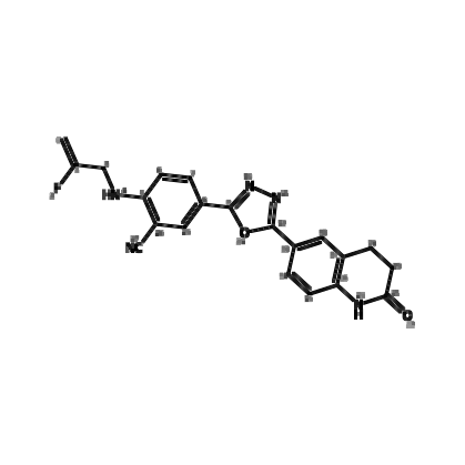 C=C(F)CNc1ccc(-c2nnc(-c3ccc4c(c3)CCC(=O)N4)o2)cc1C#N